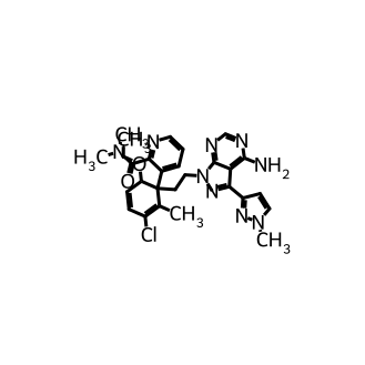 CCOC1C=CC(Cl)=C(C)C1(CCn1nc(-c2ccn(C)n2)c2c(N)ncnc21)c1cccnc1C(=O)N(C)C